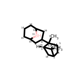 CC1(C)C2CCC(C)(C3CC4BC(CCC4)C3)[C@H]1C2